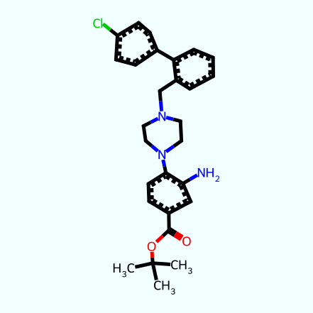 CC(C)(C)OC(=O)c1ccc(N2CCN(Cc3ccccc3-c3ccc(Cl)cc3)CC2)c(N)c1